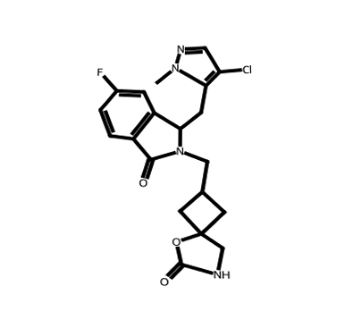 Cn1ncc(Cl)c1CC1c2cc(F)ccc2C(=O)N1CC1CC2(CNC(=O)O2)C1